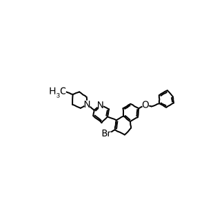 CC1CCN(c2ccc(C3=C(Br)CCc4cc(OCc5ccccc5)ccc43)cn2)CC1